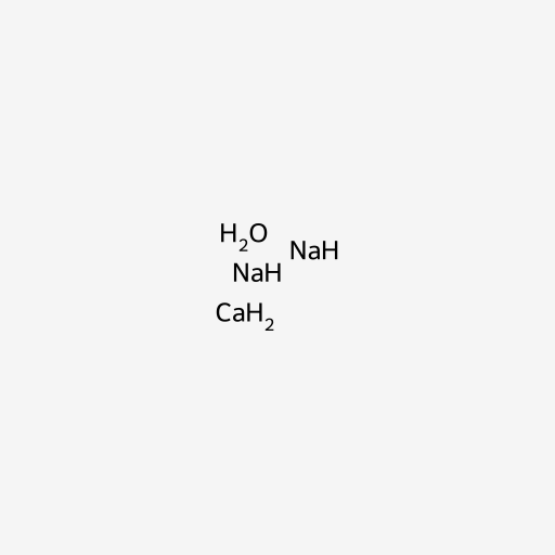 O.[CaH2].[NaH].[NaH]